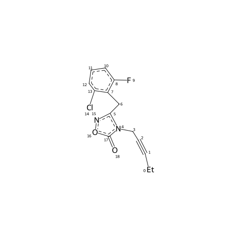 CCC#CCn1c(Cc2c(F)cccc2Cl)noc1=O